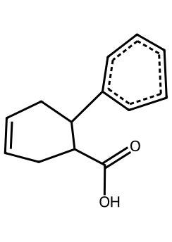 O=C(O)C1CC=CCC1c1ccccc1